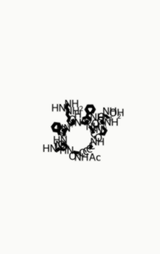 CC(=O)N[C@H]1CCCCNC(=O)C[C@@H](C(=O)N2CCC[C@H]2C(=O)N[C@@H](CO)C(N)=O)NC(=O)[C@H](Cc2c[nH]c3ccccc23)NC(=O)[C@H](CCCNC(=N)N)NC(=O)[C@@H](Cc2ccccc2)NC(=O)[C@H](Cc2c[nH]cn2)NC1=O